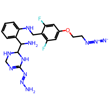 [N-]=[N+]=NCCOc1cc(F)c(CNc2ccccc2C(N)C2NCN=C(N=NN)N2)c(F)c1